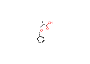 CC(=COCc1ccccc1)C(=O)O